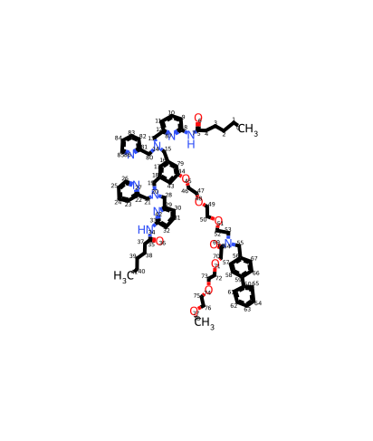 CCCCCC(=O)Nc1cccc(CN(Cc2cc(CN(Cc3ccccn3)Cc3cccc(NC(=O)CCCCC)n3)cc(OCCOCCOCCN(Cc3ccc(-c4ccccc4)cc3)C(=O)COCCOCCOC)c2)Cc2ccccn2)n1